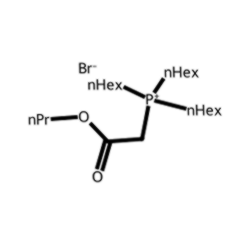 CCCCCC[P+](CCCCCC)(CCCCCC)CC(=O)OCCC.[Br-]